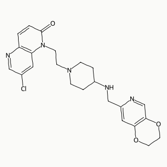 O=c1ccc2ncc(Cl)cc2n1CCN1CCC(NCc2cc3c(cn2)OCCO3)CC1